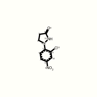 O=C1CCN(c2ccc([N+](=O)[O-])cc2Cl)N1